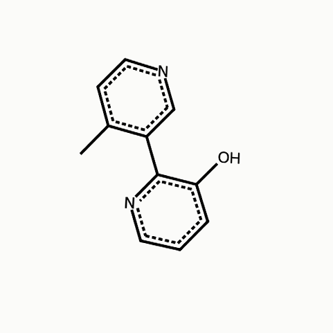 Cc1ccncc1-c1ncccc1O